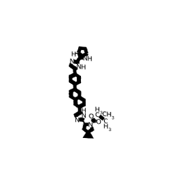 CC(C)(C)OC(=O)N1CC2(CC2)C[C@H]1c1ncc(-c2ccc3cc(-c4ccc(-c5cnc(C6NC7CC[C@H]6C7)[nH]5)cc4)ccc3c2)[nH]1